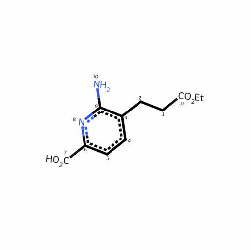 CCOC(=O)CCc1ccc(C(=O)O)nc1N